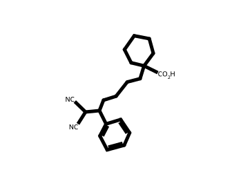 N#CC(C#N)C(CCCCC1(C(=O)O)CCCCC1)c1ccccc1